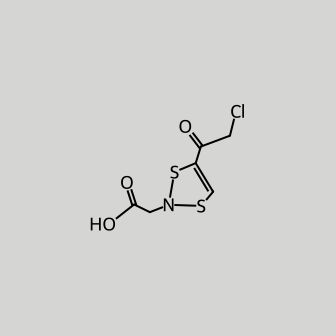 O=C(O)CN1SC=C(C(=O)CCl)S1